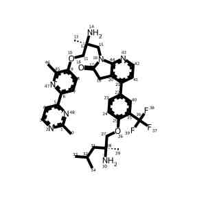 Cc1nccc(-c2ccc(OC[C@@](C)(N)CN3C(=O)Cc4c(-c5ccc(OC[C@@](C)(N)CC(C)C)c(C(F)(F)F)c5)ccnc43)c(C)n2)n1